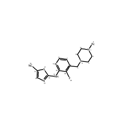 CC(=O)N1CCN(Cc2ccnc(Nc3ncc(C#N)s3)c2F)CC1